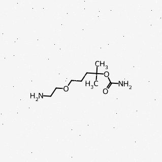 CC(C)(CCCOCCN)OC(N)=O